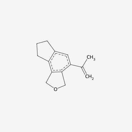 C=C(C)c1cc2c(c3c1COC3)CCC2